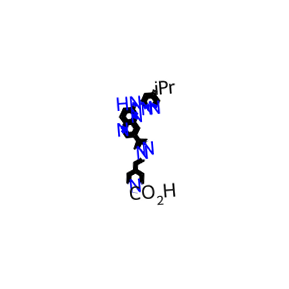 CC(C)c1cnnc(Nc2ccc3ncc(-c4cnn(CCC5CCN(C(=O)O)CC5)c4)cc3n2)c1